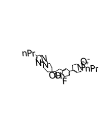 CCCc1cnc(N2CCC(O)(C3Cc4cc(C5=CCN([S+]([O-])CCC)CC5)cc(F)c4O3)CC2)nc1